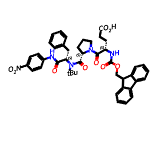 CC(C)(C)N(C(=O)[C@@H]1CCCN1C(=O)[C@H](CCC(=O)O)NC(=O)OCC1c2ccccc2-c2ccccc21)[C@@H](Cc1ccccc1)C(=O)Nc1ccc([N+](=O)[O-])cc1